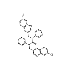 O=C(C(Cc1cnc2cc(Cl)ccc2c1)c1ccccc1)C(Cc1cnc2cc(Cl)ccc2c1)c1ccccc1